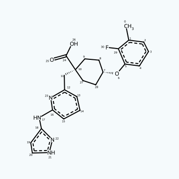 Cc1cccc(O[C@H]2CC[C@](Cc3cccc(Nc4cc[nH]n4)n3)(C(=O)O)CC2)c1F